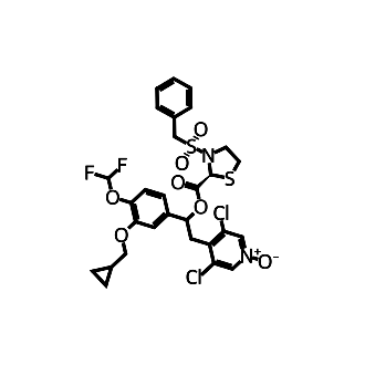 O=C(OC(Cc1c(Cl)c[n+]([O-])cc1Cl)c1ccc(OC(F)F)c(OCC2CC2)c1)[C@@H]1SCCN1S(=O)(=O)Cc1ccccc1